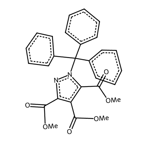 COC(=O)c1nn(C(c2ccccc2)(c2ccccc2)c2ccccc2)c(C(=O)OC)c1C(=O)OC